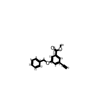 C#Cc1cc(OCc2ccccc2)cc(C(=O)OC)c1